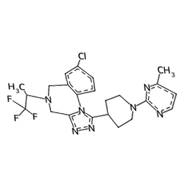 Cc1ccnc(N2CCC(c3nnc4n3-c3ccc(Cl)cc3CN(C(C)C(F)(F)F)C4)CC2)n1